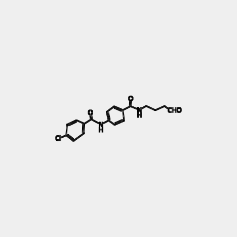 O=CCCCNC(=O)c1ccc(NC(=O)c2ccc(Cl)cc2)cc1